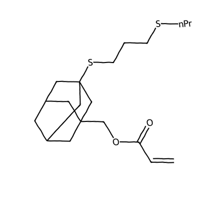 C=CC(=O)OCC12CC3CC(C1)CC(SCCCSCCC)(C3)C2